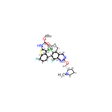 COCc1c(Cl)c(-c2ccc(F)c3sc(NC(=O)OC(C)(C)C)c(C#N)c23)c(F)c2nc(OC[C@@H]3CCCN3C)ncc12